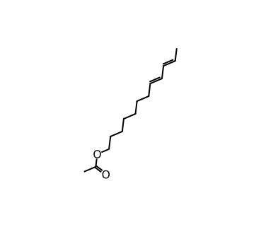 C/C=C/C=C/CCCCCCCOC(C)=O